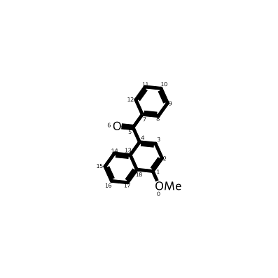 COc1ccc(C(=O)c2ccccc2)c2ccccc12